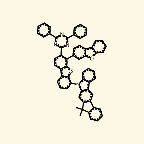 CC1(C)c2ccccc2-c2cc3c4ccccc4n(-c4cccc5c4sc4c(-c6ccc7c(c6)oc6ccccc67)c(-c6nc(-c7ccccc7)nc(-c7ccccc7)n6)ccc45)c3cc21